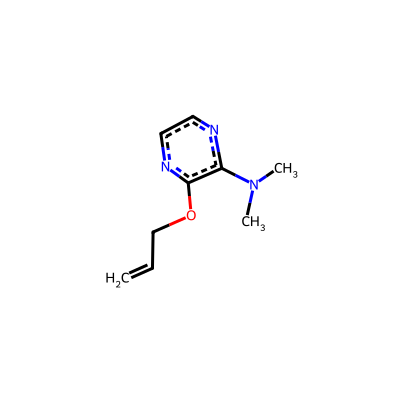 C=CCOc1nccnc1N(C)C